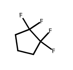 FC1(F)CCCC1(F)F